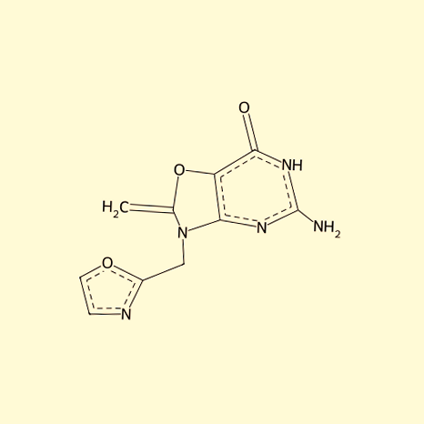 C=C1Oc2c(nc(N)[nH]c2=O)N1Cc1ncco1